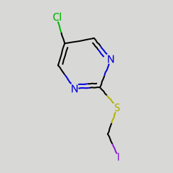 Clc1cnc(SCI)nc1